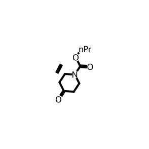 C=C.CCCOC(=O)N1CCC(=O)CC1